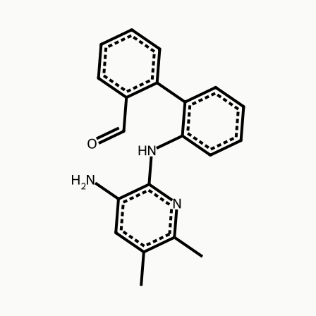 Cc1cc(N)c(Nc2ccccc2-c2ccccc2C=O)nc1C